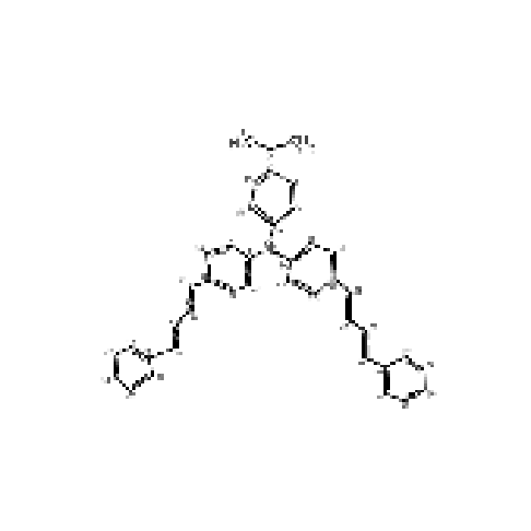 CC(C)c1ccc(N(c2ccc(/C=C/C=C/c3ccccc3)cc2)c2ccc(/C=C/C=C/c3ccccc3)cc2)cc1